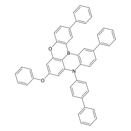 c1ccc(Oc2cc3c4c(c2)N(c2ccc(-c5ccccc5)cc2)c2ccc(-c5ccccc5)cc2B4c2cc(-c4ccccc4)ccc2O3)cc1